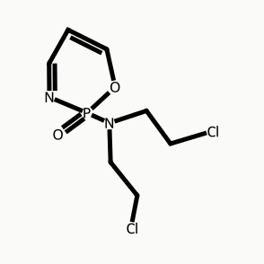 O=P1(N(CCCl)CCCl)N=CC=CO1